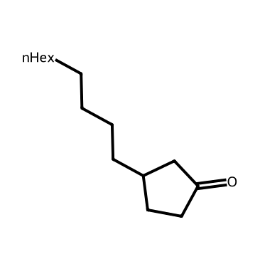 CCCCCCCCCCC1CCC(=O)C1